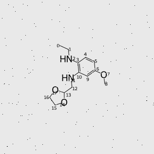 CCNc1ccc(OC)cc1NCC1OCCO1